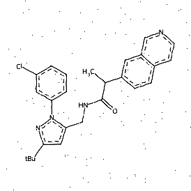 CC(C(=O)NCc1cc(C(C)(C)C)nn1-c1cccc(Cl)c1)c1ccc2ccncc2c1